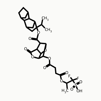 CC(C)C1(OC(=O)C2C3OC4C(OC(=O)C42)C3OC(=O)CCC(=O)OC(C)C(F)(F)S(=O)(=O)O)CC2CC1C1C3CCC(C3)C21